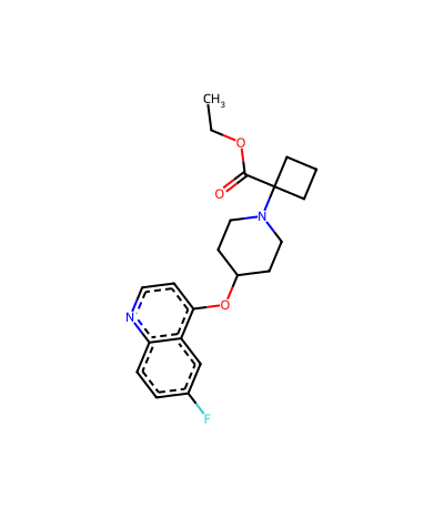 CCOC(=O)C1(N2CCC(Oc3ccnc4ccc(F)cc34)CC2)CCC1